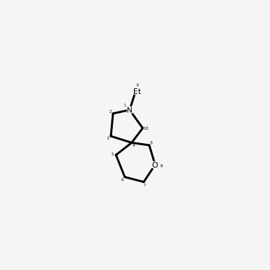 CCN1CCC2(CCCOC2)C1